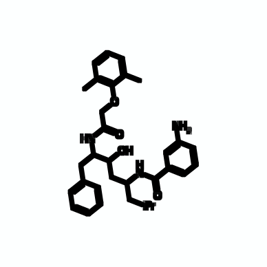 Cc1cccc(C)c1OCC(=O)NC(Cc1ccccc1)C(O)CC(CC(C)C)NC(=O)c1cccc(N)c1